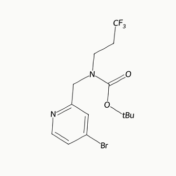 CC(C)(C)OC(=O)N(CCC(F)(F)F)Cc1cc(Br)ccn1